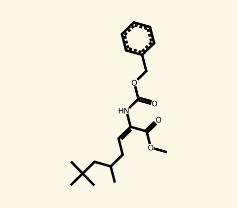 COC(=O)C(=CCC(C)CC(C)(C)C)NC(=O)OCc1ccccc1